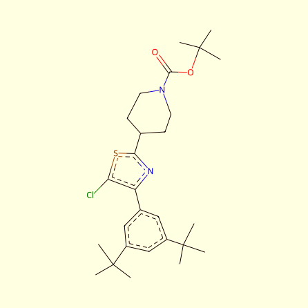 CC(C)(C)OC(=O)N1CCC(c2nc(-c3cc(C(C)(C)C)cc(C(C)(C)C)c3)c(Cl)s2)CC1